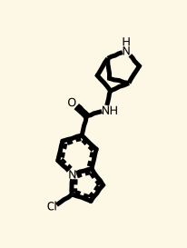 O=C(NC1CC2CC1CN2)c1ccn2c(Cl)ccc2c1